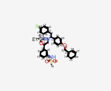 CC[Si](CC)(CC)OC(CNC(Cc1ccc(F)cc1)c1ccc(OCc2ccccc2)cc1)c1cccc(NS(C)(=O)=O)c1